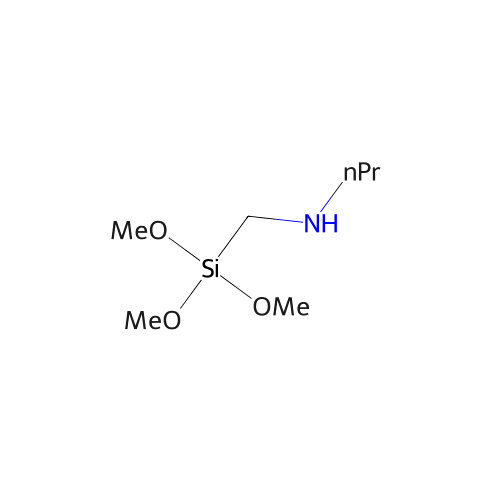 CCCNC[Si](OC)(OC)OC